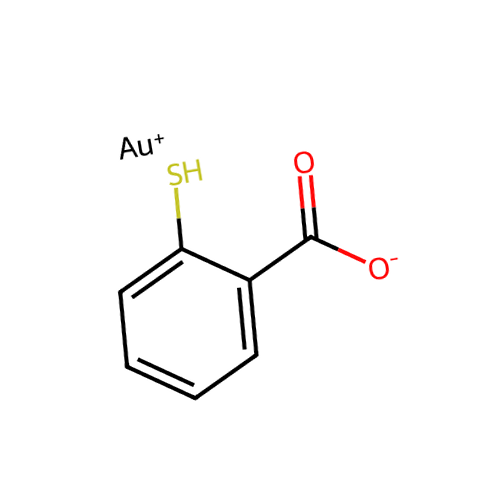 O=C([O-])c1ccccc1S.[Au+]